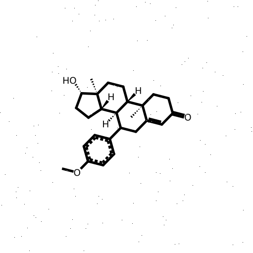 COc1ccc(C2CC3=CC(=O)CC[C@]3(C)[C@H]3CC[C@]4(C)[C@@H](O)CC[C@H]4[C@H]23)cc1